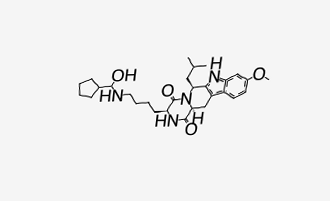 COc1ccc2c3c([nH]c2c1)[C@H](CC(C)C)N1C(=O)[C@H](CCCCNC(O)C2CCCC2)NC(=O)[C@@H]1C3